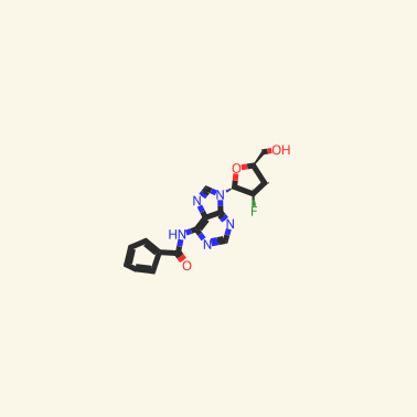 O=C(Nc1ncnc2c1ncn2[C@@H]1O[C@@H](CO)[CH][C@H]1F)c1ccccc1